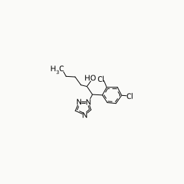 CCCCC(O)C(c1ccc(Cl)cc1Cl)n1cncn1